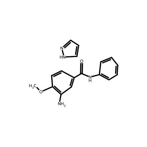 COc1ccc(C(=O)Nc2ccccc2)cc1N.c1cn[nH]c1